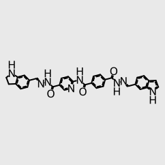 O=C(N/N=C/c1ccc2cc[nH]c2c1)c1ccc(C(=O)Nc2ccc(C(=O)N/N=C/c3ccc4c(c3)NCC4)cn2)cc1